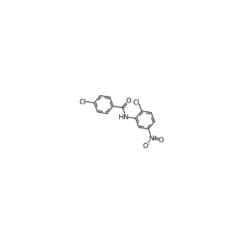 O=C(Nc1cc([N+](=O)[O-])ccc1Cl)c1ccc(Cl)cc1